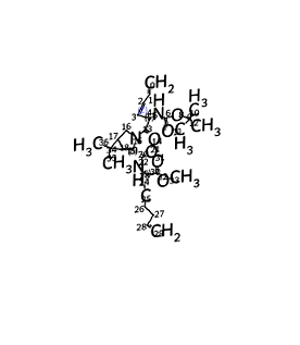 C=C/C=C\[C@H](NC(=O)OC(C)(C)C)C(=O)N1CC2C([C@H]1C(=O)N[C@@H](CCCCC=C)C(=O)OC)C2(C)C